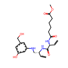 C=C[C@H](CNc1cc(O)cc(CO)c1)NC(=O)[C@H](C=C)NC(=O)CCCCC(=O)OC